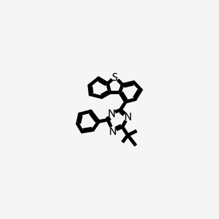 CC(C)(C)c1nc(-c2ccccc2)nc(-c2cccc3sc4ccccc4c23)n1